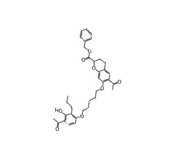 CCCc1c(OCCCCCOc2cc3c(cc2C(C)=O)CCC(C(=O)OCc2ccccc2)O3)ccc(C(C)=O)c1O